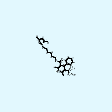 COC(=O)C1=C(C)NC(C)=C(C(=O)OCCCCCCn2nc(C)cc2C)C1c1ccccc1C(F)(F)F